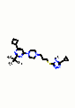 Cn1c(SCCCN2CCN(c3cc(C4CCC4)nc(C(C)(C)C)n3)CC2)nnc1C1CC1